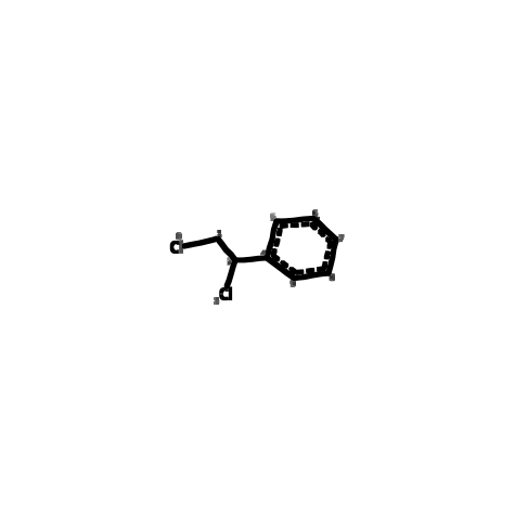 ClCC(Cl)c1c[c]ccc1